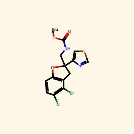 CC(C)(C)OC(=O)NCC1(c2cscn2)Cc2c(ccc(Cl)c2Br)O1